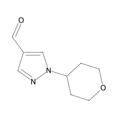 O=Cc1cnn(C2CCOCC2)c1